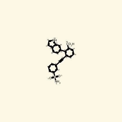 NS(=O)(=O)c1cccc(C#Cc2cccc(C(=O)O)c2-c2ccc3cc[nH]c3c2)c1